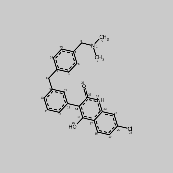 CN(C)Cc1ccc(Cc2cccc(-c3c(O)c4ccc(Cl)cc4[nH]c3=O)c2)cc1